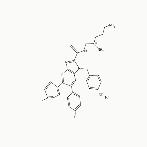 NCCC[C@H](N)CNC(=O)c1nc2cc(-c3ccc(F)cc3)c(-c3ccc(F)cc3)cc2n1Cc1ccccc1.[Cl-].[H+]